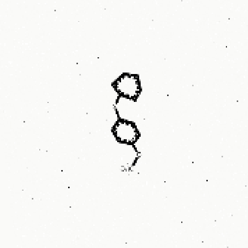 O=[C]Oc1ccc(Sc2ccccc2)cc1